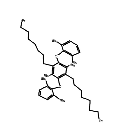 CC(C)CCCCCCCc1c(Oc2c(C(C)(C)C)cccc2C(C)(C)C)c(C(C)(C)C)c(CCCCCCCC(C)C)c(Oc2c(C(C)(C)C)cccc2C(C)(C)C)c1C(C)(C)C